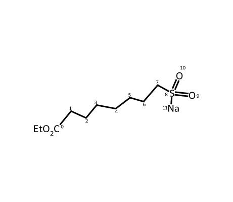 CCOC(=O)CCCCCCC[S](=O)(=O)[Na]